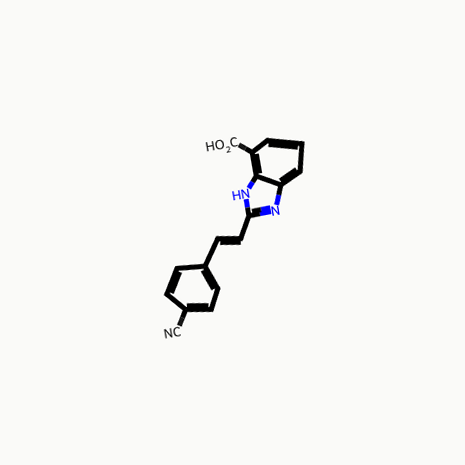 N#Cc1ccc(C=Cc2nc3cccc(C(=O)O)c3[nH]2)cc1